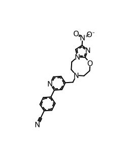 N#Cc1ccc(-c2cc(CN3CCOc4nc([N+](=O)[O-])cn4CC3)ccn2)cc1